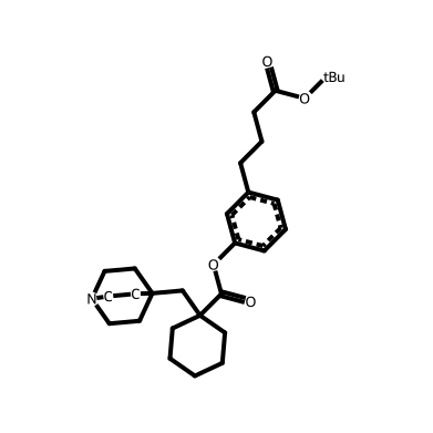 CC(C)(C)OC(=O)CCCc1cccc(OC(=O)C2(CC34CCN(CC3)CC4)CCCCC2)c1